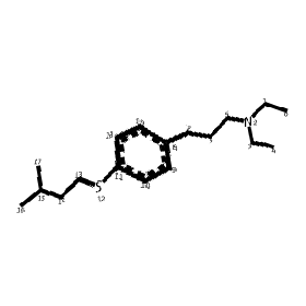 CCN(CC)CCCc1ccc(SCCC(C)C)cc1